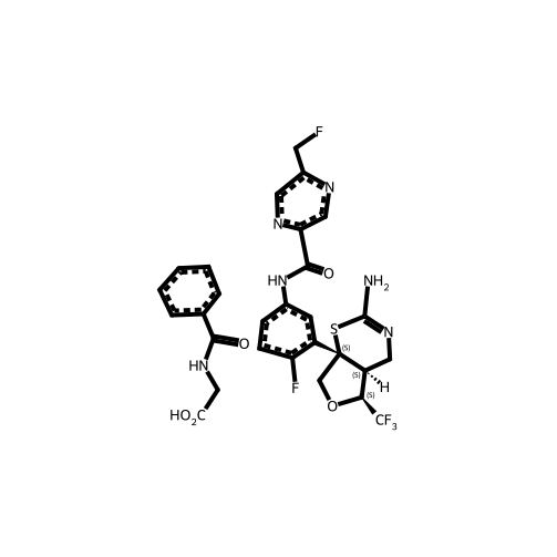 NC1=NC[C@H]2[C@@H](C(F)(F)F)OC[C@]2(c2cc(NC(=O)c3cnc(CF)cn3)ccc2F)S1.O=C(O)CNC(=O)c1ccccc1